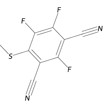 CSc1c(F)c(F)c(C#N)c(F)c1C#N